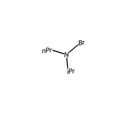 CCCN(Br)C(C)C